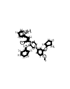 COc1ccc(N2CCN(C(=O)Cc3ccc[nH]3)[C@@H](Cc3ccccc3)C2)cc1OC1CCCC1